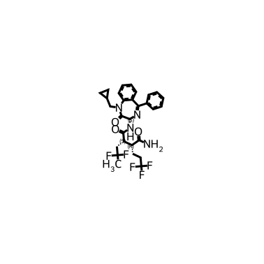 CC(F)(F)C[C@H](C(=O)N[C@H]1N=C(c2ccccc2)c2ccccc2N(CC2CC2)C1=O)[C@@H](CCC(F)(F)F)C(N)=O